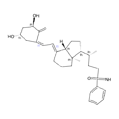 C=C1/C(=C\C=C2/CCC[C@]3(C)[C@@H]([C@H](C)CCS(=N)(=O)c4ccccc4)CC[C@@H]23)C[C@H](O)C[C@H]1O